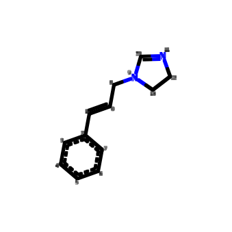 C(=Cc1ccccc1)CN1C=NCC1